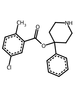 Cc1ccc(Cl)cc1C(=O)OC1(c2ccccc2)CCNCC1